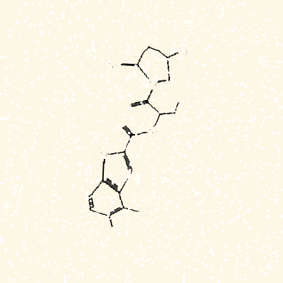 CC(C)(C)CC(NC(=O)c1cc2c(F)c(F)ccc2[nH]1)C(=O)N1CC(C=O)CC1C#N